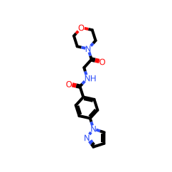 O=C(NCC(=O)N1CCOCC1)c1ccc(-n2cccn2)cc1